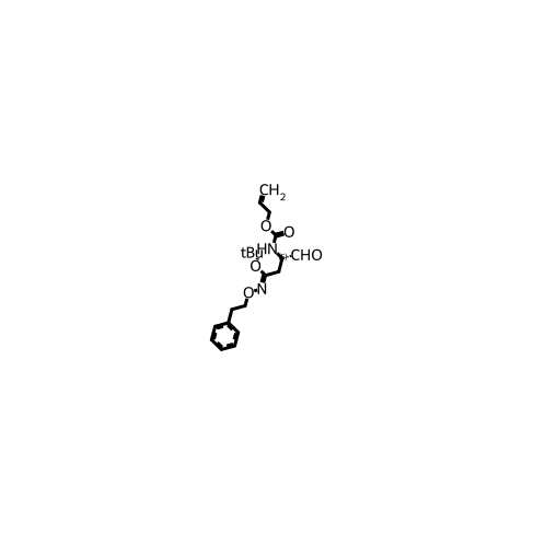 C=CCOC(=O)N[C@H](C=O)CC(=NOCCc1ccccc1)OC(C)(C)C